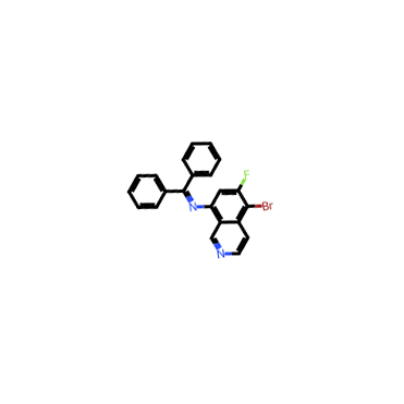 Fc1cc(N=C(c2ccccc2)c2ccccc2)c2cnccc2c1Br